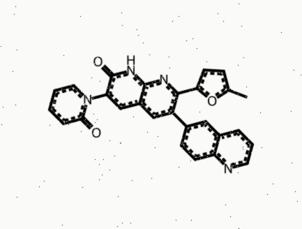 Cc1ccc(-c2nc3[nH]c(=O)c(-n4ccccc4=O)cc3cc2-c2ccc3ncccc3c2)o1